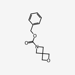 O=C(OCc1ccccc1)N1CC2(COC2)C1